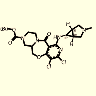 CN1C[C@@H]2[C@H](C1)[C@H]2Nc1nc(Cl)c(Cl)c2c1C(=O)N1CCN(C(=O)OC(C)(C)C)CC1CO2